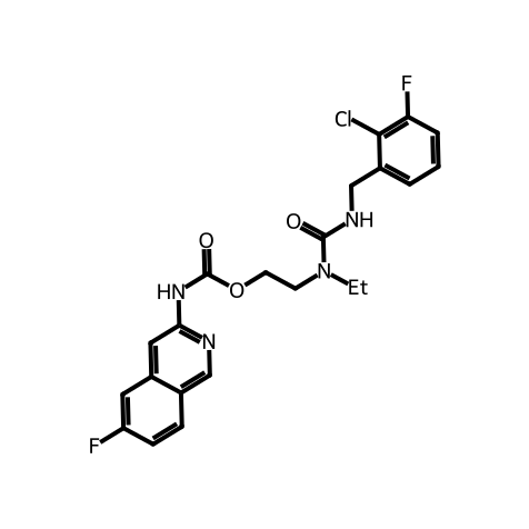 CCN(CCOC(=O)Nc1cc2cc(F)ccc2cn1)C(=O)NCc1cccc(F)c1Cl